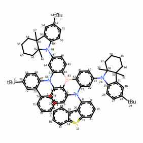 Cc1cc2c3c(c1)N(c1cccc4sc5ccccc5c14)c1cc(N4c5ccc(C(C)(C)C)cc5C5(C)CCCCC45C)ccc1B3c1ccc(N3c4ccc(C(C)(C)C)cc4C4(C)CCCCC34C)cc1N2c1ccc(C(C)(C)C)cc1-c1ccccc1